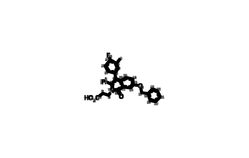 Cc1cc(-c2c(C(C)C)n(CCC(=O)O)c(=O)c3cc(OCc4ccccc4)ccc23)ccc1F